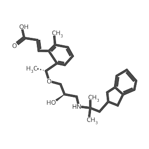 Cc1cccc([C@@H](C)OC[C@H](O)CNC(C)(C)CC2Cc3ccccc3C2)c1C=CC(=O)O